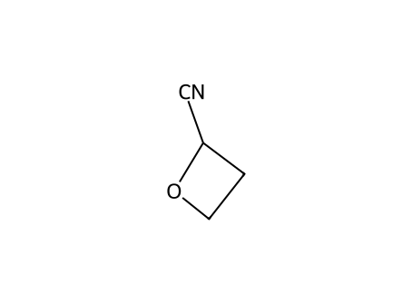 N#CC1CCO1